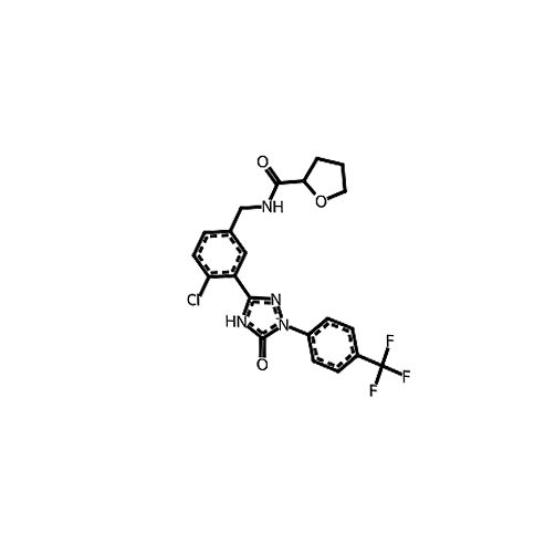 O=C(NCc1ccc(Cl)c(-c2nn(-c3ccc(C(F)(F)F)cc3)c(=O)[nH]2)c1)C1CCCO1